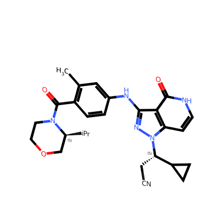 Cc1cc(Nc2nn([C@@H](CC#N)C3CC3)c3cc[nH]c(=O)c23)ccc1C(=O)N1CCOC[C@@H]1C(C)C